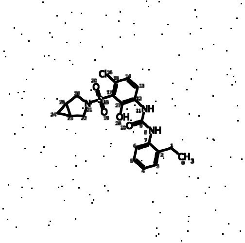 CCc1ccccc1NC(=O)Nc1ccc(Cl)c(S(=O)(=O)N2CC3CC3C2)c1O